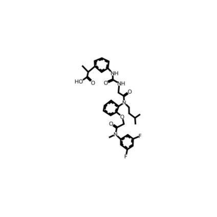 CC(C)CCN(C(=O)CNC(=O)Nc1cccc(C(C)C(=O)O)c1)c1ccccc1OCC(=O)N(C)c1cc(F)cc(F)c1